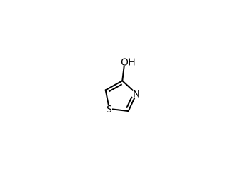 Oc1cscn1